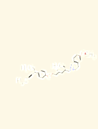 C=C/C(=C\C=C\COc1ccc(C(C#CC)CC)cc1)CN1CCc2cc(OC)ccc2C1